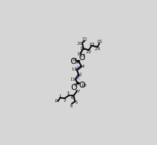 CCCCC(CC)COC(=O)/C=C/C=C/C(=O)OCC(CC)CCCC